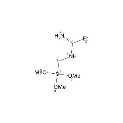 CCC(N)NC[Si](OC)(OC)OC